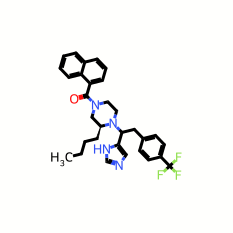 CCCC[C@H]1CN(C(=O)c2cccc3ccccc23)CCN1C(Cc1ccc(C(F)(F)F)cc1)c1cnc[nH]1